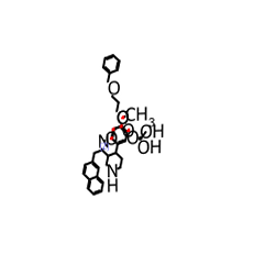 COC(=O)CO/N=C(/Cc1ccc2ccccc2c1)C1CNCCC1c1ccc(OCCCOCc2ccccc2)cc1.O=C(O)O